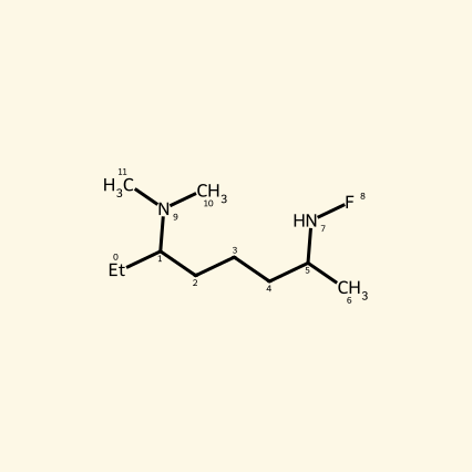 CCC(CCCC(C)NF)N(C)C